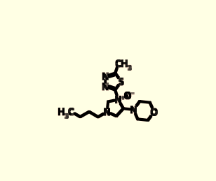 CCCCN1CC(N2CCOCC2)[N+]([O-])(c2nnc(C)s2)C1